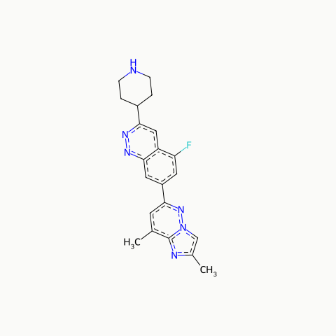 Cc1cn2nc(-c3cc(F)c4cc(C5CCNCC5)nnc4c3)cc(C)c2n1